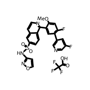 COc1cc(F)c(-c2cncc(F)c2)cc1-c1nccc2cc(S(=O)(=O)Nc3ccon3)ccc12.O=C(O)C(F)(F)F